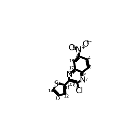 O=[N+]([O-])c1ccc2nc(Cl)c(-c3cccs3)nc2c1